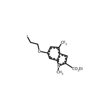 CCOC(=O)c1cc2c(C(F)(F)F)cc(OCCI)cc2n1C